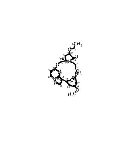 CCO[C@@H]1C[C@H]2COc3ccn4ncc(c4n3)-c3cc(cc(OC)c3)NCCN2C1=O